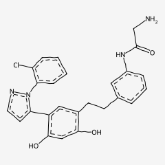 NCC(=O)Nc1cccc(CCc2cc(-c3ccnn3-c3ccccc3Cl)c(O)cc2O)c1